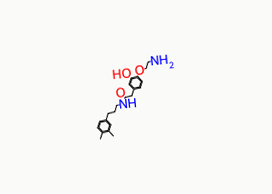 Cc1ccc(CCCNC(=O)Cc2ccc(OCCN)c(O)c2)cc1C